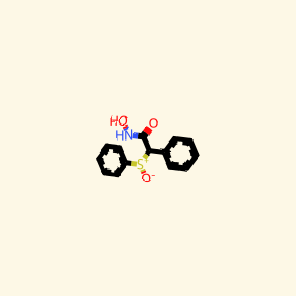 O=C(NO)C(c1ccccc1)[S+]([O-])c1ccccc1